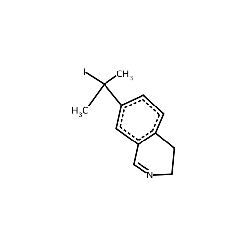 CC(C)(I)c1ccc2c(c1)C=NCC2